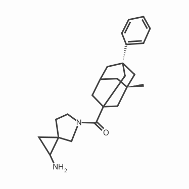 C[C@]12CC3CC(C(=O)N4CCC5(CC5N)C4)(C1)C[C@@](c1ccccc1)(C3)C2